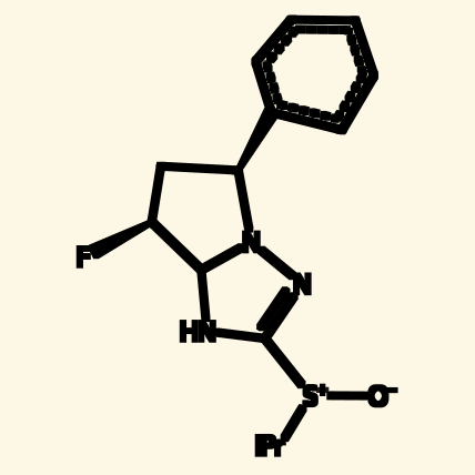 CC(C)[S+]([O-])C1=NN2C(N1)[C@@H](F)C[C@H]2c1ccccc1